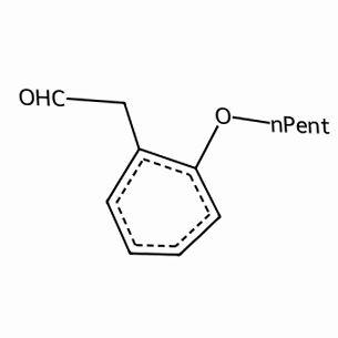 CCCCCOc1ccccc1CC=O